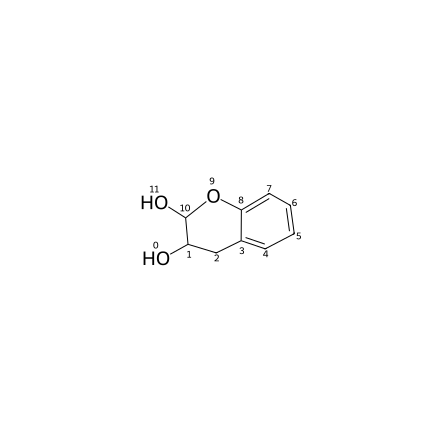 OC1Cc2ccccc2OC1O